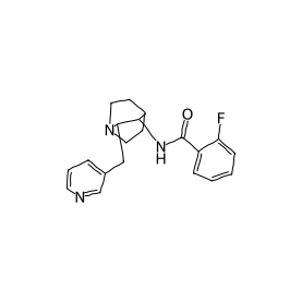 O=C(NC1C2CCN(CC2)C1Cc1cccnc1)c1ccccc1F